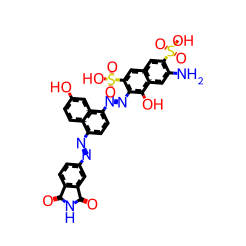 Nc1cc2c(O)c(N=Nc3ccc(N=Nc4ccc5c(c4)C(=O)NC5=O)c4ccc(O)cc34)c(S(=O)(=O)O)cc2cc1S(=O)(=O)O